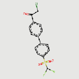 O=C(CCl)c1ccc(-c2ccc(S(=O)(=O)C(F)F)cc2)cc1